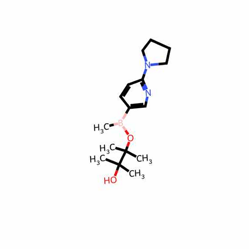 CB(OC(C)(C)C(C)(C)O)c1ccc(N2CCCC2)nc1